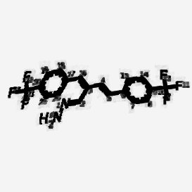 NN=CC(C=Cc1ccc(C(F)(F)F)cc1)=Cc1ccc(C(F)(F)F)cc1